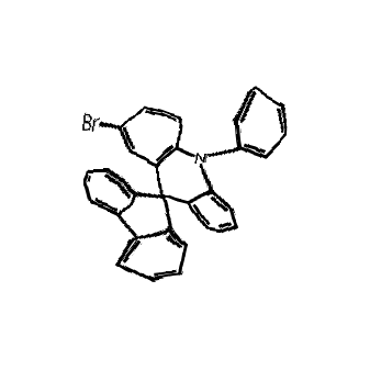 Brc1ccc2c(c1)C1(c3ccccc3-c3ccccc31)c1ccccc1N2c1ccccc1